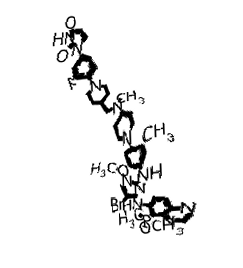 COc1cc(N2CCC(N(C)CC3CCN(c4ccc(-n5ccc(=O)[nH]c5=O)cc4F)CC3)CC2)c(C)cc1Nc1ncc(Br)c(Nc2ccc3nccnc3c2P(C)(C)=O)n1